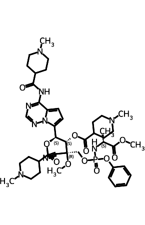 COC(=O)[C@H](C)NP(=O)(OC[C@@](C#N)(OC)[C@@H](OC(=O)C1CCN(C)CC1)[C@@H](OC(=O)C1CCN(C)CC1)c1ccc2c(NC(=O)C3CCN(C)CC3)ncnn12)Oc1ccccc1